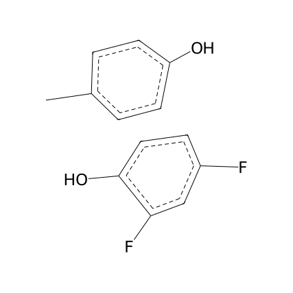 Cc1ccc(O)cc1.Oc1ccc(F)cc1F